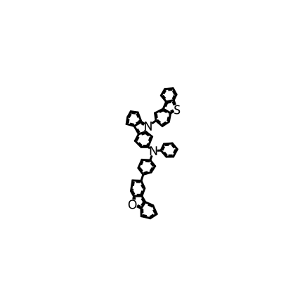 c1ccc(N(c2ccc(-c3ccc4oc5ccccc5c4c3)cc2)c2ccc3c4ccccc4n(-c4ccc5sc6ccccc6c5c4)c3c2)cc1